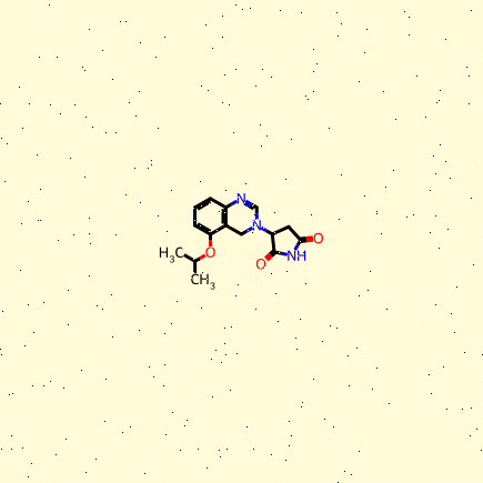 CC(C)Oc1cccc2c1CN(C1CC(=O)NC1=O)C=N2